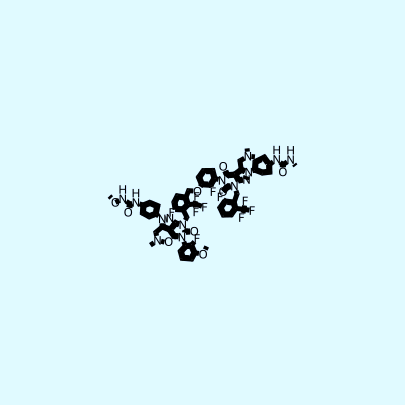 CNC(=O)Nc1ccc(-n2nc3c(c2CN(C)C)c(=O)n(-c2cccc(OCc4ccc(F)c(Cn5c(=O)n(-c6cccc(OC)c6F)c(=O)c6c(CN(C)C)n(-c7ccc(NC(=O)NOC)cc7)nc65)c4C(F)(F)F)c2F)c(=O)n3Cc2c(F)cccc2C(F)(F)F)cc1